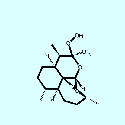 C[C@@H]1CC[C@H]2[C@@H](C)[C@](OO)(C(F)(F)F)O[C@@H]3O[C@]4(C)CC[C@@H]1C32OO4